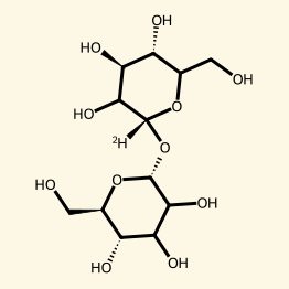 [2H][C@]1(O[C@H]2O[C@H](CO)[C@@H](O)C(O)C2O)OC(CO)[C@@H](O)[C@H](O)C1O